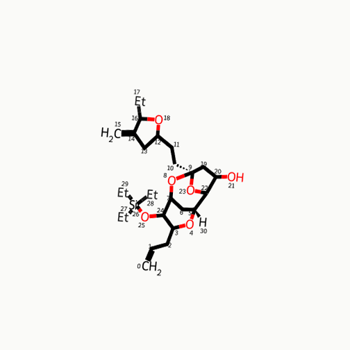 C=CCC1O[C@@H]2CC(O[C@@]3(CCC4CC(=C)C(CC)O4)CC(O)C2O3)C1O[Si](CC)(CC)CC